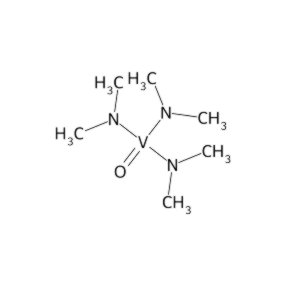 C[N](C)[V](=[O])([N](C)C)[N](C)C